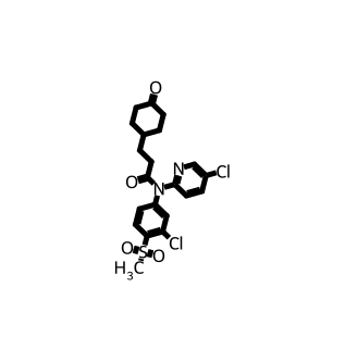 CS(=O)(=O)c1ccc(N(C(=O)CCC2CCC(=O)CC2)c2ccc(Cl)cn2)cc1Cl